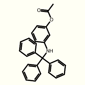 CC(=O)Oc1cccc(NC(c2ccccc2)(c2ccccc2)c2ccccc2)c1